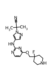 CC(C)(C#N)n1cc(Nc2nccc(OCC3(F)CCNCC3)n2)cn1